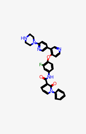 O=C(Nc1ccc(Oc2ccncc2-c2ccc(N3CCNCC3)nc2)c(F)c1)c1cccn(-c2ccccc2)c1=O